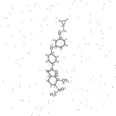 CC(=O)c1ccc2nc(-c3ccc(Oc4cccc(OCC5CC5)c4)cc3)oc2c1C